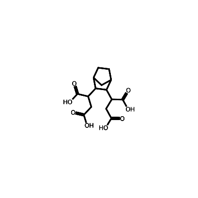 O=C(O)CC(C(=O)O)C1C2CCC(C2)C1C(CC(=O)O)C(=O)O